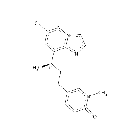 C[C@H](CCc1ccc(=O)n(C)c1)c1cc(Cl)nn2ccnc12